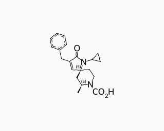 C[C@H]1C[C@]2(C=C(Cc3ccccc3)C(=O)N2C2CC2)CCN1C(=O)O